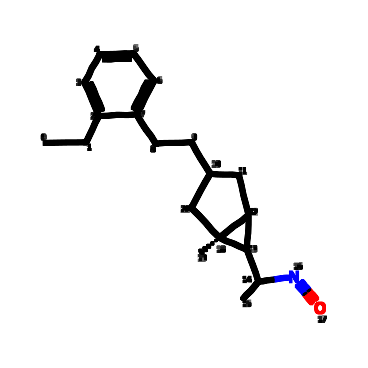 CCc1ccccc1CCC1CC2C(C(C)N=O)[C@@]2(C)C1